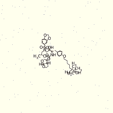 CC(C)CN(C[C@@H](O)[C@H](Cc1ccc(OCCCCCC(C)(C)[Si](C)(C)O)cc1)NC(=O)O[C@H]1CO[C@H]2OCC[C@H]21)S(=O)(=O)c1ccc2c(c1)OCO2